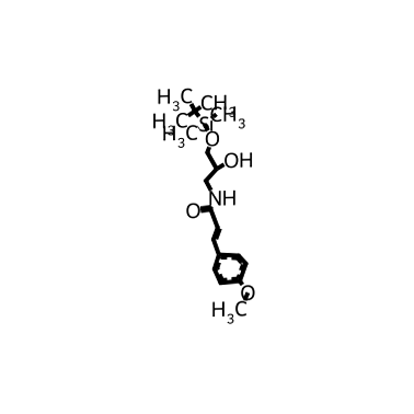 COc1ccc(/C=C/C(=O)NCC(O)CO[Si](C)(C)C(C)(C)C)cc1